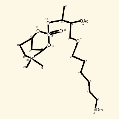 CCCCCCCCCCCCCCCCOCC(OC(C)=O)C(C)OP1(=O)OC2CC[N+](C)(C)C(C2)O1